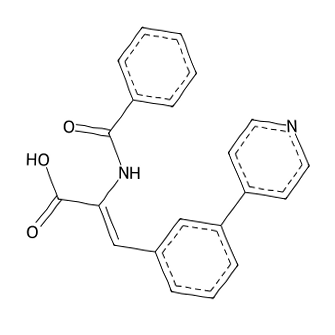 O=C(O)C(=Cc1cccc(-c2ccncc2)c1)NC(=O)c1ccccc1